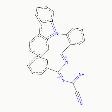 N#CC(=N)/N=C(\N=C\c1ccccc1-n1c2ccccc2c2ccccc21)c1ccccc1